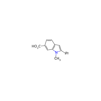 CC(C)c1cc2ccc(C(=O)O)cc2n1C